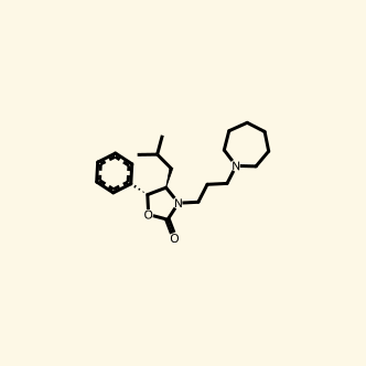 CC(C)C[C@@H]1[C@@H](c2ccccc2)OC(=O)N1CCCN1CCCCCC1